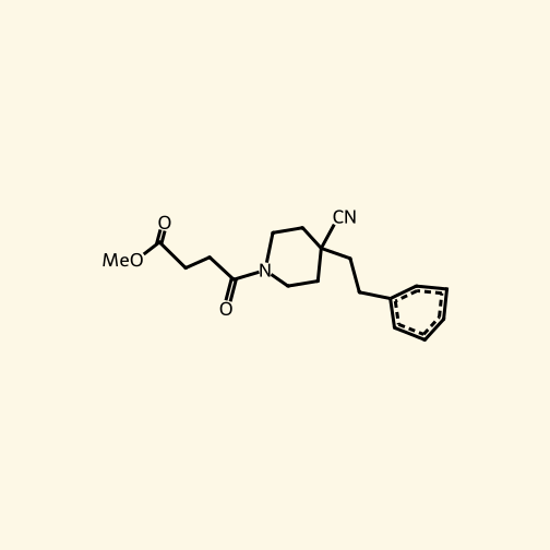 COC(=O)CCC(=O)N1CCC(C#N)(CCc2ccccc2)CC1